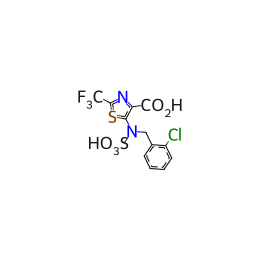 O=C(O)c1nc(C(F)(F)F)sc1N(Cc1ccccc1Cl)S(=O)(=O)O